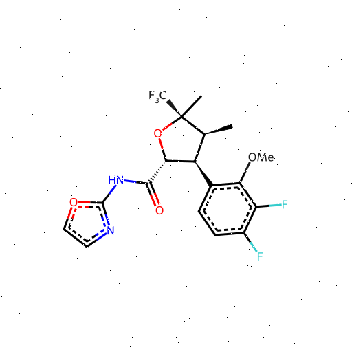 COc1c([C@H]2[C@H](C(=O)Nc3ncco3)O[C@@](C)(C(F)(F)F)[C@H]2C)ccc(F)c1F